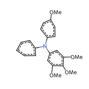 COc1ccc(N(c2ccccc2)c2cc(OC)c(OC)c(OC)c2)cc1